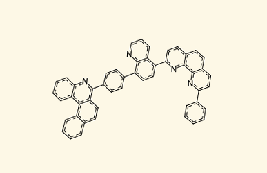 c1ccc(-c2ccc3ccc4ccc(-c5ccc(-c6ccc(-c7nc8ccccc8c8c7ccc7ccccc78)cc6)c6ncccc56)nc4c3n2)cc1